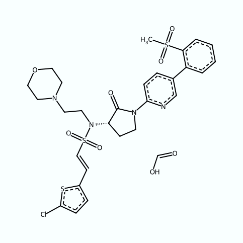 CS(=O)(=O)c1ccccc1-c1ccc(N2CC[C@H](N(CCN3CCOCC3)S(=O)(=O)C=Cc3ccc(Cl)s3)C2=O)nc1.O=CO